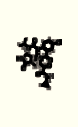 CC(C)OC(=O)Nc1ccc(Cl)cc1C(=O)N[C@@H](C[C@@H]1C[C@@H](C)NC1=O)C(=O)C(=O)NC1CC1